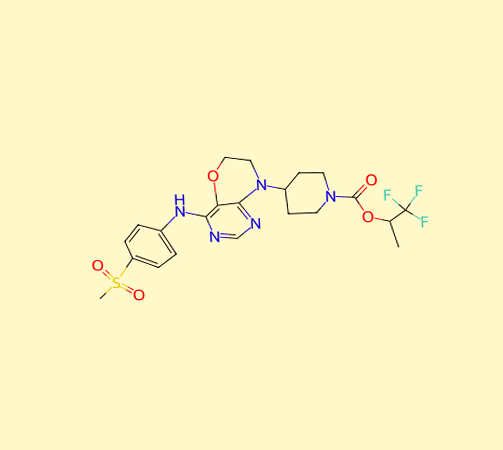 CC(OC(=O)N1CCC(N2CCOc3c(Nc4ccc(S(C)(=O)=O)cc4)ncnc32)CC1)C(F)(F)F